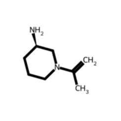 C=C(C)N1CCC[C@@H](N)C1